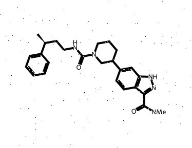 CNC(=O)c1n[nH]c2cc(C3CCCN(C(=O)NCC[C@H](C)c4ccccc4)C3)ccc12